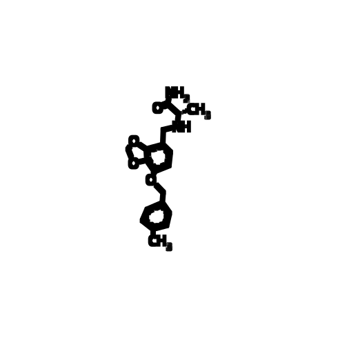 Cc1ccc(COc2ccc(CN[C@@H](C)C(N)=O)c3c2OCO3)cc1